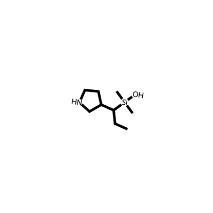 CCC(C1CCNC1)[Si](C)(C)O